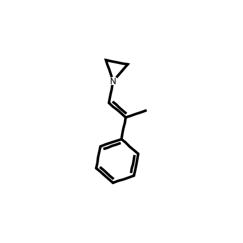 CC(=CN1CC1)c1ccccc1